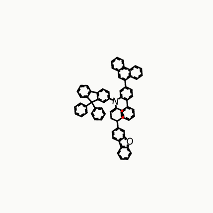 C1=CC(c2ccc3c(c2)oc2ccccc23)CC=C1N(c1ccc2c(c1)C(c1ccccc1)(c1ccccc1)c1ccccc1-2)c1cc(-c2cc3ccccc3c3ccccc23)ccc1-c1ccccc1